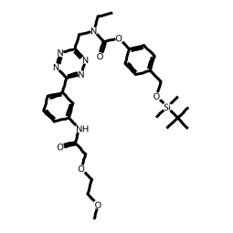 CCN(Cc1nnc(-c2cccc(NC(=O)COCCOC)c2)nn1)C(=O)Oc1ccc(CO[Si](C)(C)C(C)(C)C)cc1